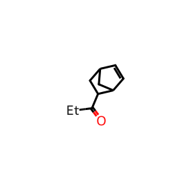 CCC(=O)C1CC2C=CC1C2